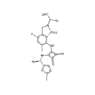 CCC(C=O)N1Cc2c(F)cc(F)c(Nc3c(N[C@@H](c4ccc(C)o4)C(C)(C)C)c(=O)c3=O)c2C1=O